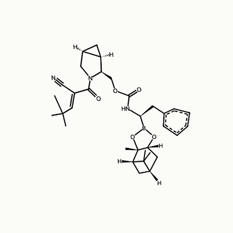 CC(C)(C)/C=C(\C#N)C(=O)N1C[C@H]2C[C@H]2[C@H]1COC(=O)N[C@@H](Cc1ccccc1)B1O[C@@H]2C[C@@H]3C[C@@H](C3(C)C)[C@]2(C)O1